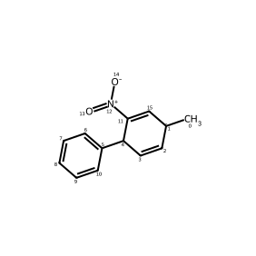 C[C]1C=CC(c2ccccc2)C([N+](=O)[O-])=C1